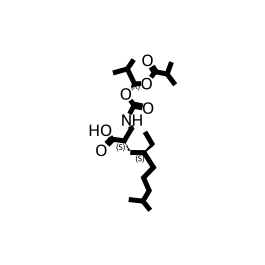 CC[C@@H](CCCC(C)C)C[C@@H](CNC(=O)O[C@@H](OC(=O)C(C)C)C(C)C)C(=O)O